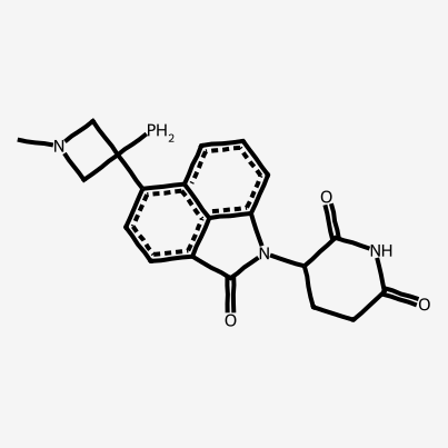 CN1CC(P)(c2ccc3c4c(cccc24)N(C2CCC(=O)NC2=O)C3=O)C1